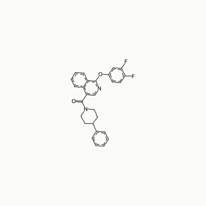 O=C(c1cnc(Oc2ccc(F)c(F)c2)c2ccccc12)N1CCC(c2ccccc2)CC1